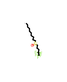 [CH2]CCCCCCCCC[S+]([O-])CCCC(F)(F)C(F)(F)F